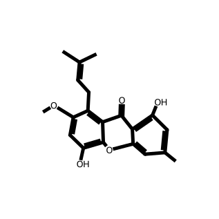 COc1cc(O)c2oc3cc(C)cc(O)c3c(=O)c2c1CC=C(C)C